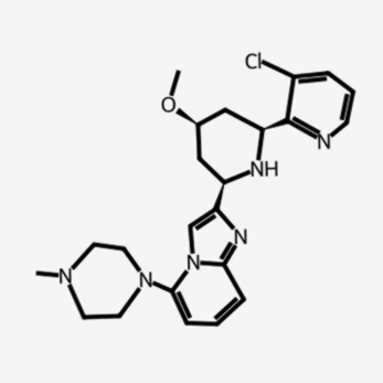 CO[C@H]1C[C@@H](c2ncccc2Cl)N[C@@H](c2cn3c(N4CCN(C)CC4)cccc3n2)C1